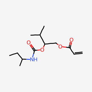 C=CC(=O)OCC(OC(=O)NC(C)CC)C(C)C